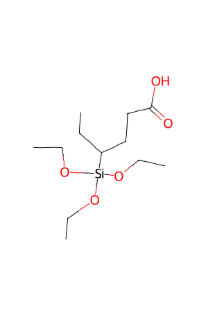 CCO[Si](OCC)(OCC)C(CC)CCC(=O)O